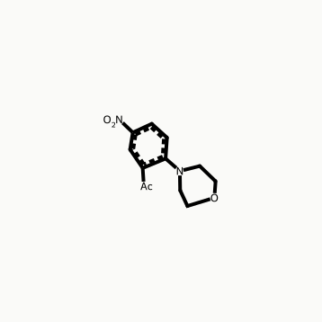 CC(=O)c1cc([N+](=O)[O-])ccc1N1CCOCC1